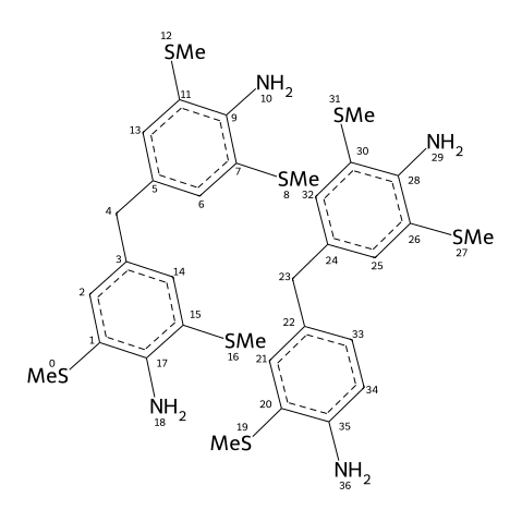 CSc1cc(Cc2cc(SC)c(N)c(SC)c2)cc(SC)c1N.CSc1cc(Cc2cc(SC)c(N)c(SC)c2)ccc1N